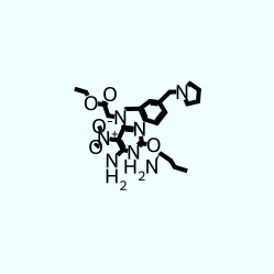 CCC[C@H](N)Oc1nc(N)c([N+](=O)[O-])c(N(CC(=O)OCC)Cc2cccc(CN3CCCC3)c2)n1